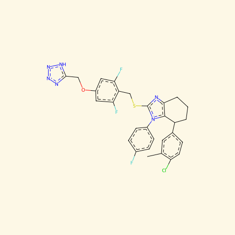 Cc1cc(C2CCCc3nc(SCc4c(F)cc(OCc5nnn[nH]5)cc4F)n(-c4ccc(F)cc4)c32)ccc1Cl